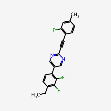 CCc1ccc(-c2cnc(C#Cc3ccc(C)cc3F)nc2)c(F)c1F